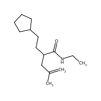 C=C(C)CC(CCC1CCCC1)C(=O)NCC